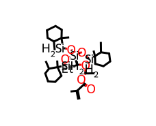 C=C(C)C(=O)OC(C)OC(CC)[Si](O[SiH2]C1(C)CCCCC1C)(O[SiH2]C1(C)CCCCC1C)O[SiH2]C1(C)CCCCC1C